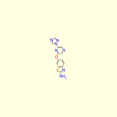 Nc1nc2ccc(Oc3cncc(-n4cncn4)n3)cc2s1